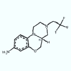 Nc1ccc2c(c1)OC[C@H]1CN(CC(F)(F)F)CCN21